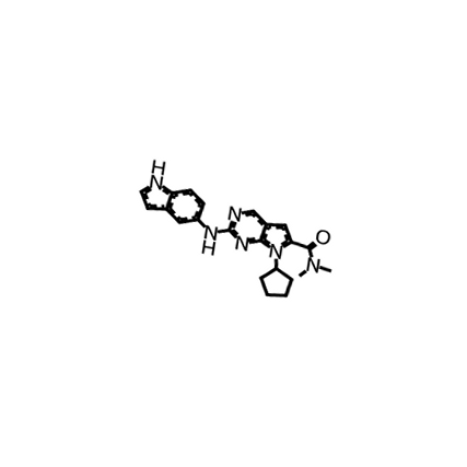 CN(C)C(=O)c1cc2cnc(Nc3ccc4[nH]ccc4c3)nc2n1C1CCCC1